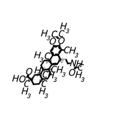 CC(=O)NCC[C@@H]1C=C2[C@@](C)(CC[C@@]3(C)[C@@H]4C[C@](C)(C(=O)O)CC[C@]4(C)CC[C@]23C)c2cc3c(c(C)c21)OC(C)(C)O3